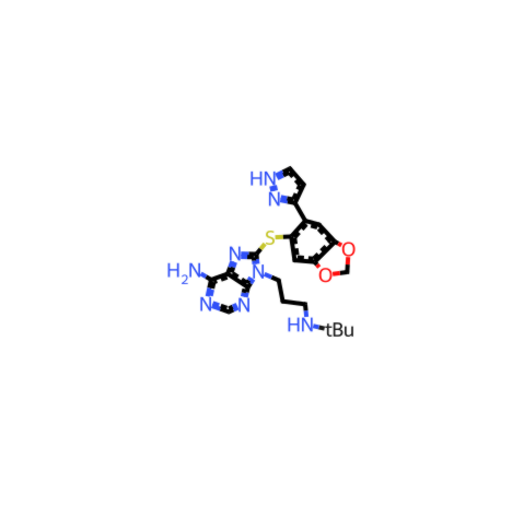 CC(C)(C)NCCCn1c(Sc2cc3c(cc2-c2cc[nH]n2)OCO3)nc2c(N)ncnc21